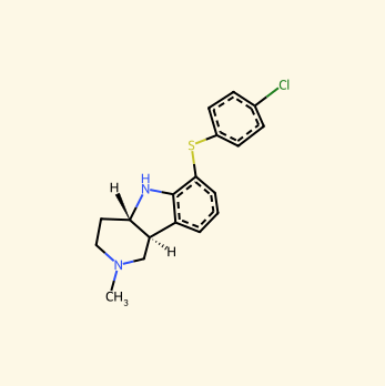 CN1CC[C@@H]2Nc3c(Sc4ccc(Cl)cc4)cccc3[C@H]2C1